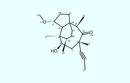 CC#C[C@]1(C)C[C@@H](O)[C@@]2(C)C3[C@H](OC)CCC3(CC[C@H]2C)[C@@H](C)C1=O